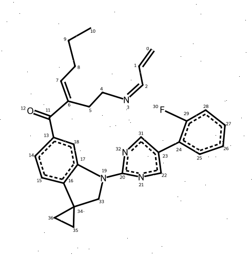 C=C/C=N\CC/C(=C\CCC)C(=O)c1ccc2c(c1)N(c1ncc(-c3ccccc3F)cn1)CC21CC1